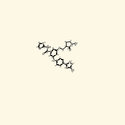 CCc1noc(-c2ccc(Oc3cc(OCC4CCN(CC)C4=O)cc(C(=O)Nc4nccs4)c3)cc2)n1